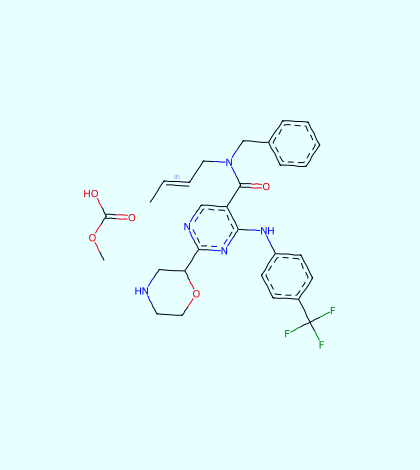 C/C=C/CN(Cc1ccccc1)C(=O)c1cnc(C2CNCCO2)nc1Nc1ccc(C(F)(F)F)cc1.COC(=O)O